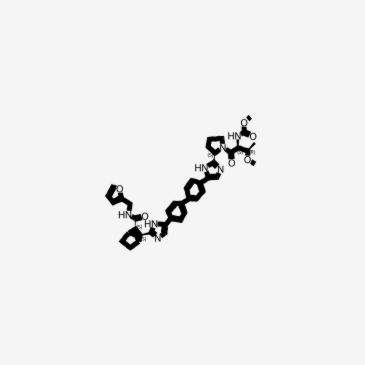 COC(=O)N[C@H](C(=O)N1CCC[C@H]1c1ncc(-c2ccc(-c3ccc(-c4cnc([C@H]5C6CCC(C6)[C@@H]5C(=O)NCc5ccco5)[nH]4)cc3)cc2)[nH]1)[C@@H](C)OC